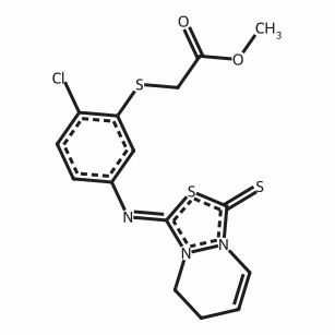 COC(=O)CSc1cc(N=c2sc(=S)n3n2CCC=C3)ccc1Cl